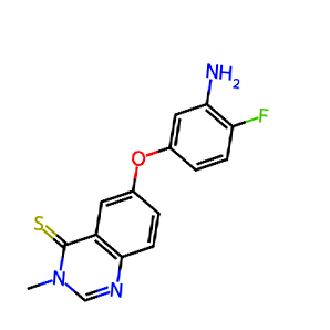 Cn1cnc2ccc(Oc3ccc(F)c(N)c3)cc2c1=S